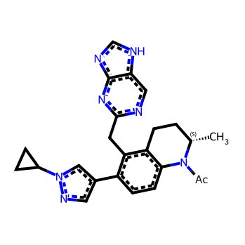 CC(=O)N1c2ccc(-c3cnn(C4CC4)c3)c(Cc3ncc4[nH]cnc4n3)c2CC[C@@H]1C